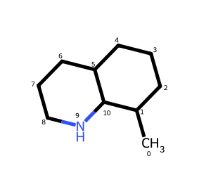 CC1CCCC2CCCNC12